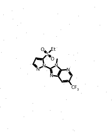 CCS(=O)(=O)c1ccnn1-c1nc2cc(C(F)(F)F)cnc2n1C